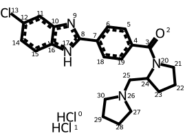 Cl.Cl.O=C(c1ccc(-c2nc3cc(Cl)ccc3[nH]2)cc1)N1CCCC1CN1CCCC1